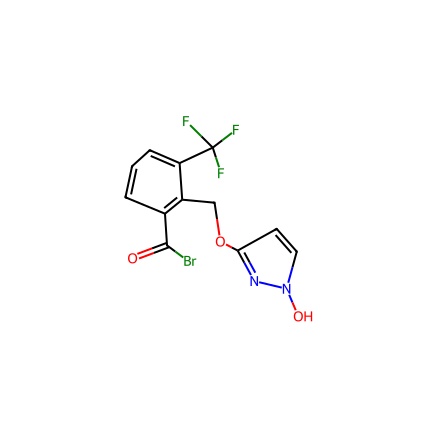 O=C(Br)c1cccc(C(F)(F)F)c1COc1ccn(O)n1